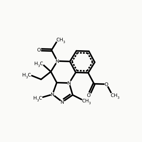 CCC1(C)C2N(C)N=C(C)N2c2c(C(=O)OC)cccc2N1C(C)=O